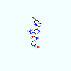 CC(C)Nc1cc(-c2ccc3cc(C#N)cnn23)ncc1C(=O)N[C@H]1CCC[C@@H](O)C1